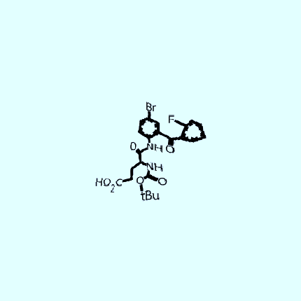 CC(C)(C)OC(=O)NC(CCC(=O)O)C(=O)Nc1ccc(Br)cc1C(=O)c1ccccc1F